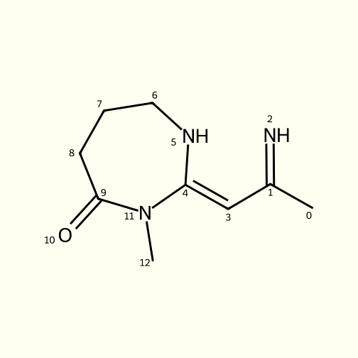 CC(=N)/C=C1\NCCCC(=O)N1C